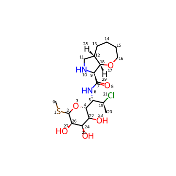 CSC1O[C@H]([C@H](NC(=O)[C@H]2NC[C@@H]3CCCCO[C@@H]32)[C@H](C)Cl)C(O)[C@@H](O)[C@H]1O